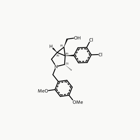 COc1ccc(CN2C[C@@H]3[C@@H](CO)[C@]3(c3ccc(Cl)c(Cl)c3)[C@@H]2C)c(OC)c1